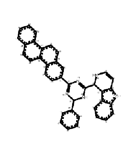 C1=Cc2oc3ccccc3c2C(C2=NC(c3ccc4c(ccc5c6ccccc6ccc45)c3)=NC(c3ccccc3)N2)N1